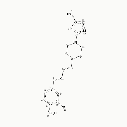 CC(C)(C)c1nc(N2CCC(CCCOc3ccc(C(=O)O)c(F)c3)CC2)no1